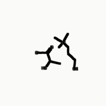 CC(O)C(=O)[O-].C[N+](C)(C)CCCO